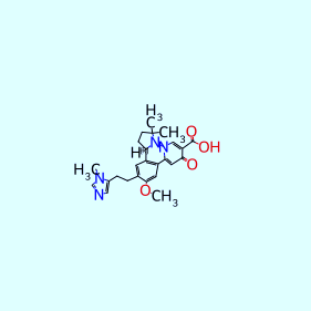 COc1cc2c(cc1CCc1cncn1C)[C@H]1CCC(C)(C)N1n1cc(C(=O)O)c(=O)cc1-2